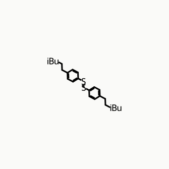 CCC(C)CCc1ccc(SSc2ccc(CCC(C)CC)cc2)cc1